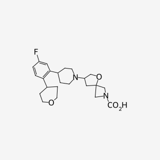 O=C(O)N1CC2(CC(N3CCC(c4cc(F)ccc4C4CCOCC4)CC3)CO2)C1